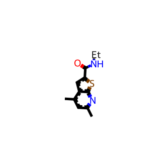 CCNC(=O)c1cc2c(C)cc(C)nc2s1